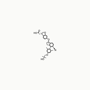 Cc1cc(OCC(C)(C)O)cc(C)c1-c1c(C#N)ccc2c1CC[C@H]2Oc1ccc2c(c1)OC[C@H]2CC(=O)O